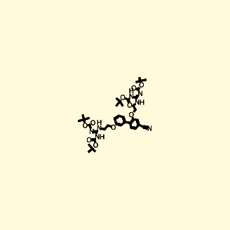 CC(C)(C)OC(=O)/N=C(/NCCOc1cc(C#N)ccc1-c1cccc(OCCN/C(=N\C(=O)OC(C)(C)C)NC(=O)OC(C)(C)C)c1)NC(=O)OC(C)(C)C